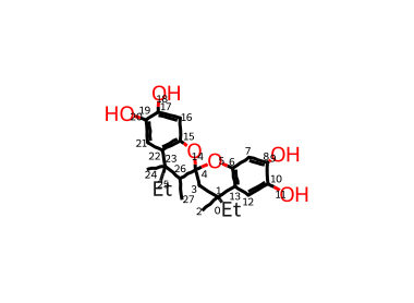 CCC1(C)CC2(Oc3cc(O)c(O)cc31)Oc1cc(O)c(O)cc1C(C)(CC)C2C